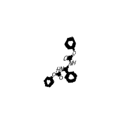 O=C(NC(NC(=O)Oc1ccccc1)c1ccccc1)Oc1ccccc1